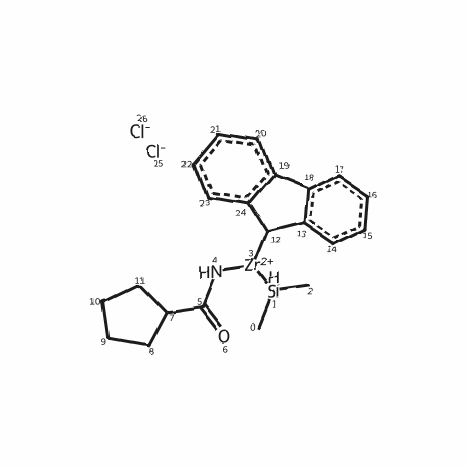 C[SiH](C)[Zr+2]([NH]C(=O)C1CCCC1)[CH]1c2ccccc2-c2ccccc21.[Cl-].[Cl-]